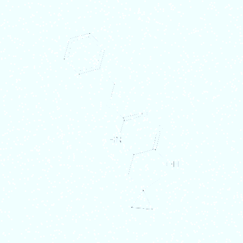 CC1(CC(NC(=O)OCc2ccccc2)C(=O)O)CC1